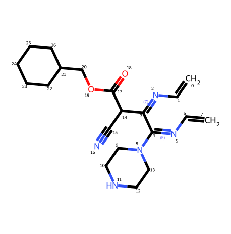 C=C/N=C(\C(=N/C=C)N1CCNCC1)C(C#N)C(=O)OCC1CCCCC1